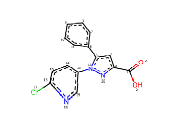 O=C(O)c1cc(-c2ccccc2)n(-c2ccc(Cl)nc2)n1